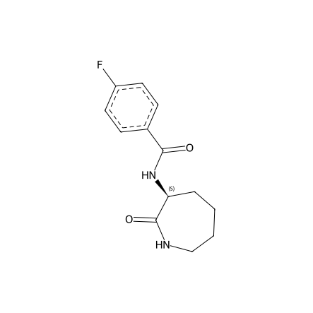 O=C(N[C@H]1CCCCNC1=O)c1ccc(F)cc1